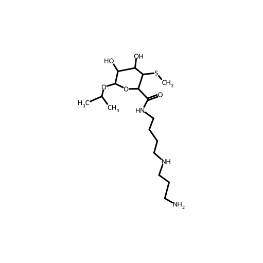 CSC1C(C(=O)NCCCCNCCCN)OC(OC(C)C)C(O)C1O